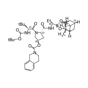 CC[C@H](NC(=O)[C@@H]1C[C@@H](OC(=O)N2CCc3ccccc3C2)CN1C(=O)[C@@H](NC(=O)OC(C)(C)C)C(C)(C)C)B1O[C@@H]2C[C@@H]3C[C@@H](C3(C)C)[C@]2(C)O1